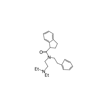 CCN(CC)CCN(CCc1ccccc1)C(=O)C1CCc2ccccc21